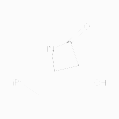 CC(C)C[C@@H]1NC(=O)[C@@H]1O